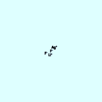 [Ag+].[F-].[F-].[Li+]